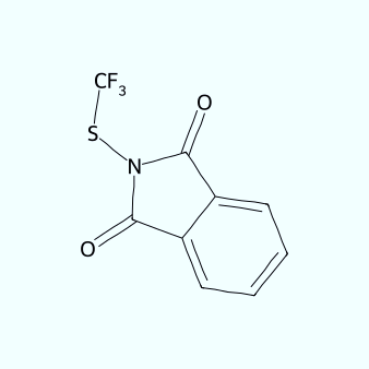 O=C1c2ccccc2C(=O)N1SC(F)(F)F